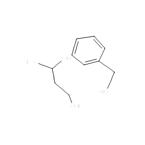 CC(O)CCO.OCc1ccccc1